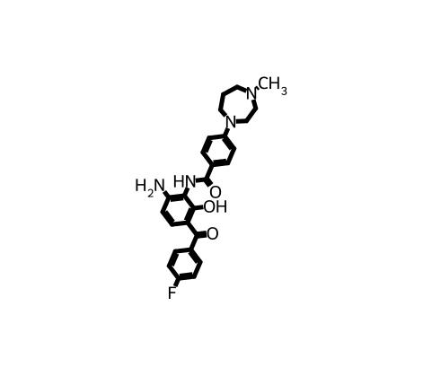 CN1CCCN(c2ccc(C(=O)Nc3c(N)ccc(C(=O)c4ccc(F)cc4)c3O)cc2)CC1